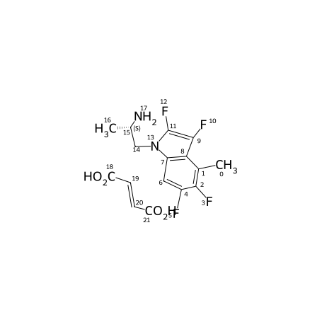 Cc1c(F)c(F)cc2c1c(F)c(F)n2C[C@H](C)N.O=C(O)C=CC(=O)O